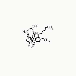 CCC(=O)O.CCCCCCc1c(CC)ccc(C2(OC)OC3=NC(CN3)O2)c1OC